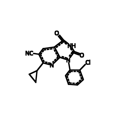 N#Cc1cc2c(=O)[nH]c(=O)n(-c3ccccc3Cl)c2nc1C1CC1